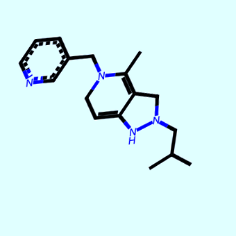 CC1=C2CN(CC(C)C)NC2=CCN1Cc1cccnc1